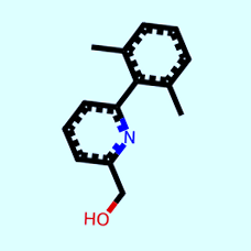 Cc1cccc(C)c1-c1cccc(CO)n1